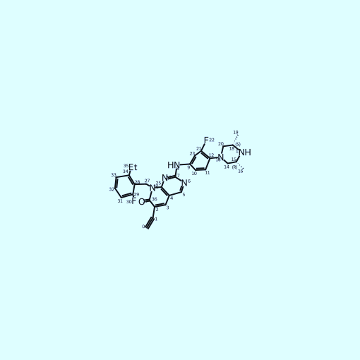 C#Cc1cc2cnc(Nc3ccc(N4C[C@@H](C)N[C@@H](C)C4)c(F)c3)nc2n(Cc2c(F)cccc2CC)c1=O